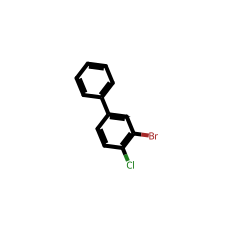 Clc1ccc(-c2ccccc2)[c]c1Br